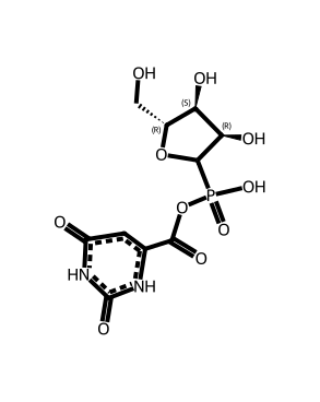 O=C(OP(=O)(O)[C]1O[C@H](CO)[C@@H](O)[C@H]1O)c1cc(=O)[nH]c(=O)[nH]1